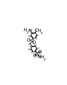 Cc1ccc(S(=O)(=O)Cc2ccc(S(N)(=O)=O)cc2)cc1N